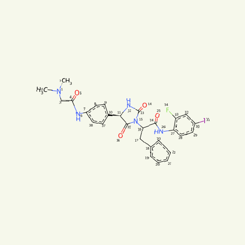 CN(C)CC(=O)Nc1ccc([C@H]2NC(=O)N(C(Cc3ccccc3)C(=O)Nc3ccc(I)cc3F)C2=O)cc1